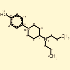 CCCN(CCC)C1CCN(c2ccc(O)cc2)CC1